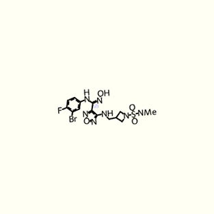 CNS(=O)(=O)N1CC(CNc2nonc2/C(=N/O)Nc2ccc(F)c(Br)c2)C1